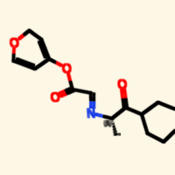 [CH2][C@H](N=CC(=O)OC1=CCOC=C1)C(=O)C1CCCCC1